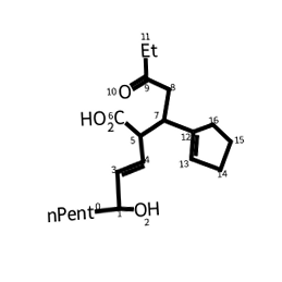 CCCCCC(O)C=CC(C(=O)O)C(CC(=O)CC)C1=CCCC1